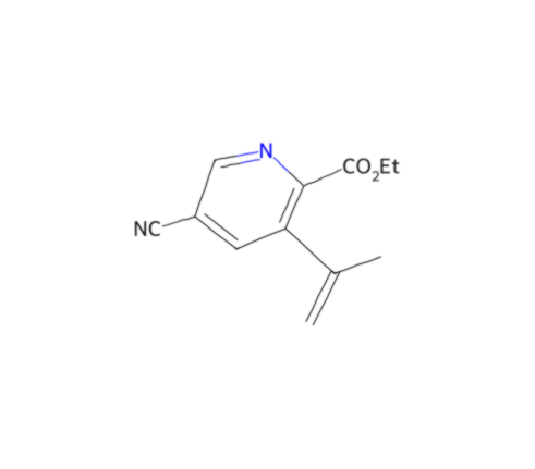 C=C(C)c1cc(C#N)cnc1C(=O)OCC